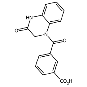 O=C1CN(C(=O)c2cccc(C(=O)O)c2)c2ccccc2N1